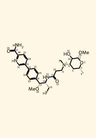 CO[C@@H]1O[C@H](C)C[C@H](N(C)CCC(=O)N[C@H](CF)[C@H](OC)c2ccc(-c3ccc(C(N)=O)nc3)cc2)C1O